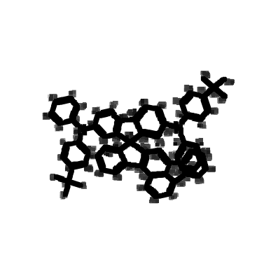 CC(C)(C)c1ccc(N(c2ccccc2)c2ccc3c(c2)C2(c4cc(N(c5ccccc5)c5ccc(C(C)(C)C)cc5)ccc4-3)c3ccccc3-c3c2cc2c4c(cccc34)-c3ccccc3-2)cc1